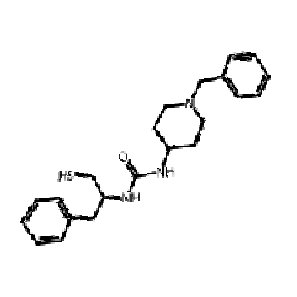 O=C(NC1CCN(Cc2ccccc2)CC1)NC(CS)Cc1ccccc1